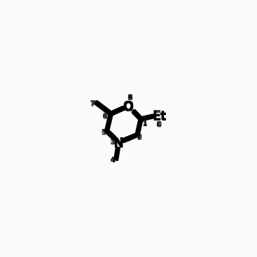 CCC1CN(C)CC(C)O1